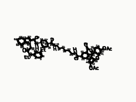 CCc1cccc(N(CC)C(=O)Cn2c(C(=O)N[C@H]3CC[C@H](C(=O)NCCCCCCNC(=O)c4ccc5c(c4)C(=O)OC54c5ccc(OC(C)=O)cc5Oc5cc(OC(C)=O)ccc54)CC3)cc3ccccc32)c1